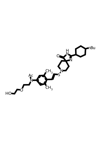 CCCCC1CCC(C2=NC3(CCN(S/C=C/c4c(C)cc(N(CCOCCO)C(C)=O)cc4C)CC3)C(=O)N2)CC1